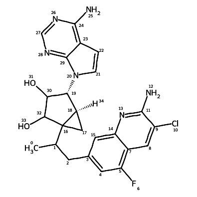 CC(Cc1cc(F)c2cc(Cl)c(N)nc2c1)C12C[C@@H]1[C@@H](n1ccc3c(N)ncnc31)C(O)C2O